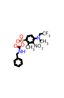 Cc1c(S(=O)(=O)OC(=O)NCc2ccccc2)ccc(N(C)CC(F)(F)F)c1[N+](=O)[O-]